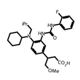 COCC(CC(=O)O)c1ccc(N(CC(C)C)C2CCCCC2)c(NC(=O)Nc2ccccc2F)c1